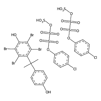 CC(C)(c1ccc(O)cc1)c1c(Br)c(Br)c(O)c(Br)c1Br.O=S(=O)(O)OS(=O)(=O)S(=O)(=O)Oc1ccc(Cl)cc1.O=S(=O)(O)OS(=O)(=O)S(=O)(=O)Oc1ccc(Cl)cc1